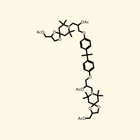 CC(=O)OCC1COC2(CC(C)(C)N(CC(COc3ccc(C(C)(C)c4ccc(OCC(CN5C(C)(C)CC6(CC5(C)C)OCC(COC(C)=O)O6)OC(C)=O)cc4)cc3)OC(C)=O)C(C)(C)C2)O1